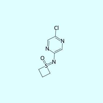 O=S1(=Nc2cnc(Cl)cn2)CCC1